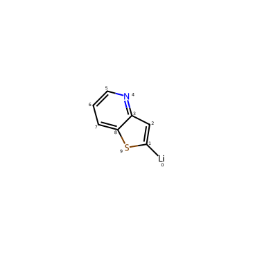 [Li][c]1cc2ncccc2s1